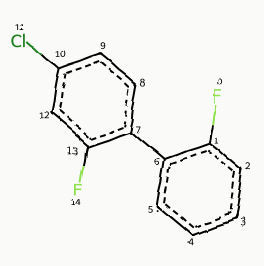 Fc1ccc[c]c1-c1ccc(Cl)cc1F